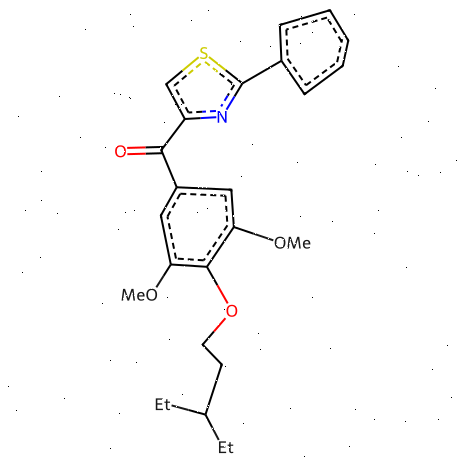 CCC(CC)CCOc1c(OC)cc(C(=O)c2csc(-c3ccccc3)n2)cc1OC